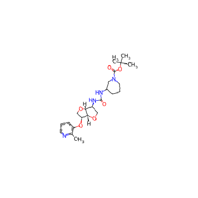 Cc1ncccc1O[C@H]1CO[C@H]2[C@@H]1OC[C@@H]2NC(=O)NC1CCCN(C(=O)OC(C)(C)C)C1